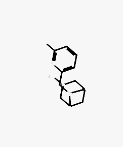 Cc1cccc(CN2C3CC2CN(C(C)C)C3)n1